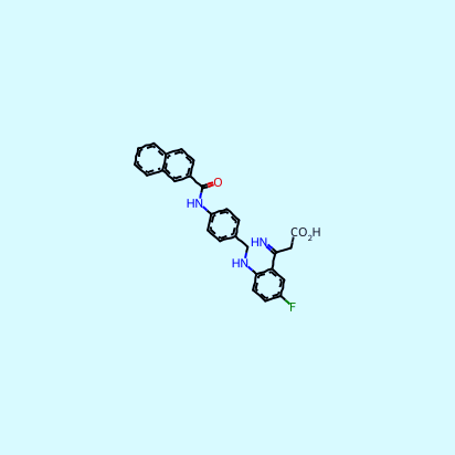 N=C(CC(=O)O)c1cc(F)ccc1NCc1ccc(NC(=O)c2ccc3ccccc3c2)cc1